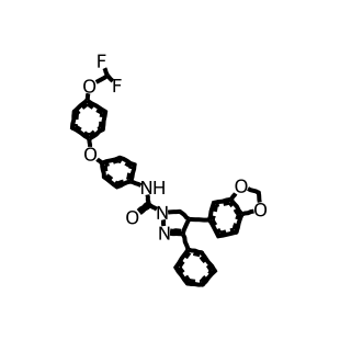 O=C(Nc1ccc(Oc2ccc(OC(F)F)cc2)cc1)N1CC(c2ccc3c(c2)OCO3)C(c2ccccc2)=N1